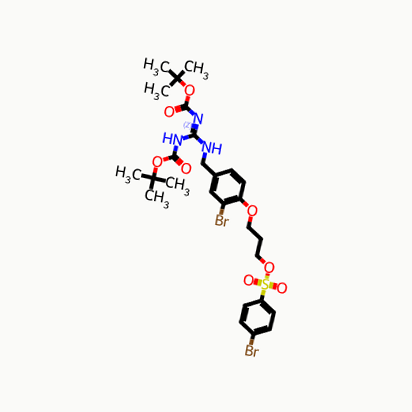 CC(C)(C)OC(=O)/N=C(/NCc1ccc(OCCCOS(=O)(=O)c2ccc(Br)cc2)c(Br)c1)NC(=O)OC(C)(C)C